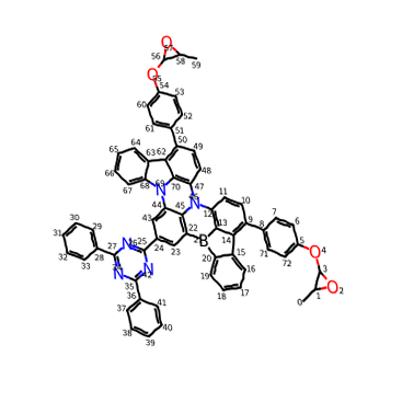 CC1OC1Oc1ccc(-c2ccc3c4c2-c2ccccc2B4c2cc(-c4nc(-c5ccccc5)nc(-c5ccccc5)n4)cc4c2N3c2ccc(-c3ccc(OC5OC5C)cc3)c3c5ccccc5n-4c23)cc1